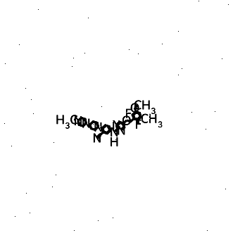 COc1cc(C)c(F)c(COc2cnc(Nc3ccc(N4CCC(N5CCN(C)CC5)CC4)c(C#N)c3)nc2)c1F